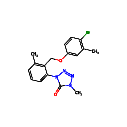 Cc1cc(OCc2c(C)cccc2-n2nnn(C)c2=O)ccc1Br